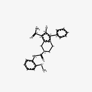 COc1ccccc1NC(=O)N1CCn2c(c(C(N)=O)c(Cl)c2-c2ccccc2)C1